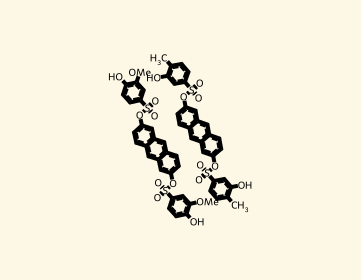 COc1cc(S(=O)(=O)Oc2ccc3cc4cc(OS(=O)(=O)c5ccc(O)c(OC)c5)ccc4cc3c2)ccc1O.Cc1ccc(S(=O)(=O)Oc2ccc3cc4cc(OS(=O)(=O)c5ccc(C)c(O)c5)ccc4cc3c2)cc1O